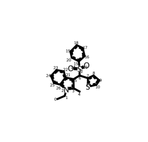 CCn1c(C)c(C(c2cccs2)S(=O)(=O)c2ccccc2)c2ccccc21